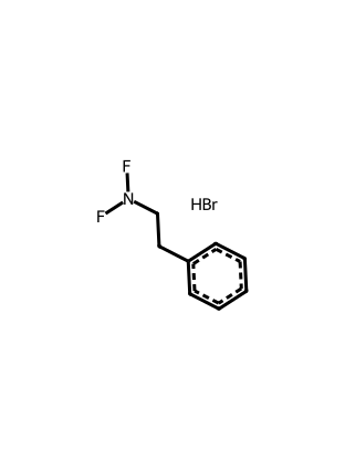 Br.FN(F)CCc1ccccc1